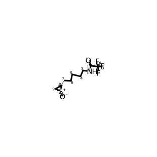 O=C(NCCCCC[C@H]1C[S+]1[O-])C(F)(F)F